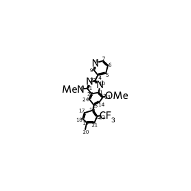 CNc1nc(-c2cccnc2)nc2c(OC)cc(-c3ccc(C)cc3C(F)(F)F)cc12